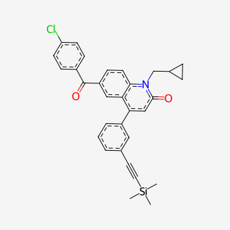 C[Si](C)(C)C#Cc1cccc(-c2cc(=O)n(CC3CC3)c3ccc(C(=O)c4ccc(Cl)cc4)cc23)c1